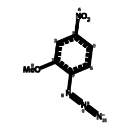 COc1cc([N+](=O)[O-])ccc1N=[N+]=[N-]